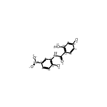 O=C(Nc1cc([N+](=O)[O-])ccc1Cl)c1ccc(Cl)cc1O